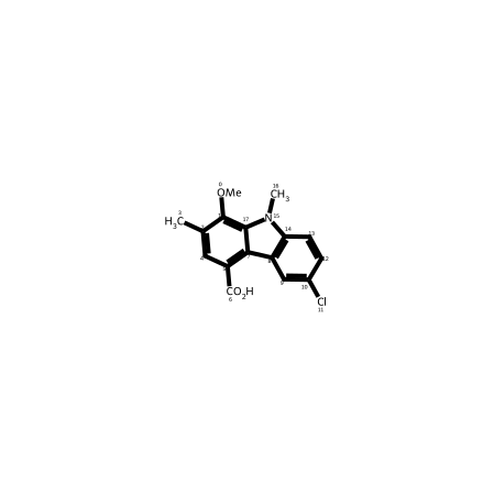 COc1c(C)cc(C(=O)O)c2c3cc(Cl)ccc3n(C)c12